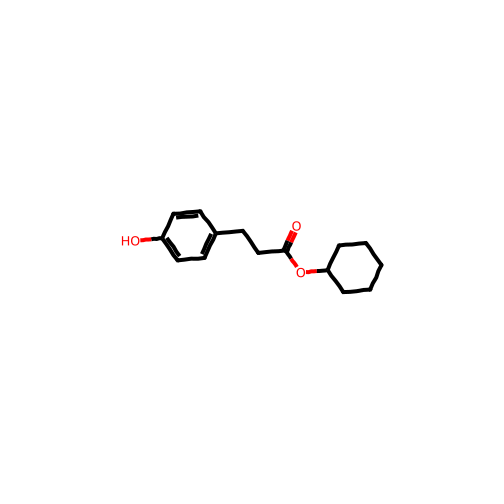 O=C(CCc1ccc(O)cc1)OC1CCCCC1